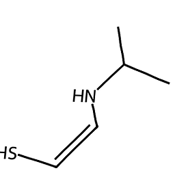 CC(C)N/C=C\S